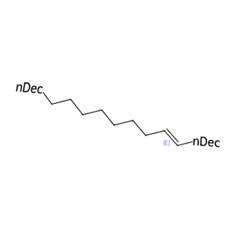 [CH2]CCCCCCCCC/C=C/CCCCCCCCCCCCCCCC[CH2]